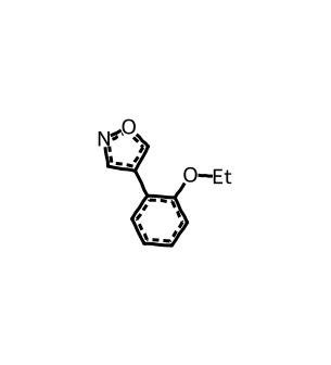 CCOc1ccccc1-c1cnoc1